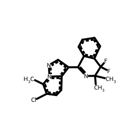 Cc1c(Cl)ccc2c(C3=NC(C)(C)C(F)(F)c4ccccc43)cnn12